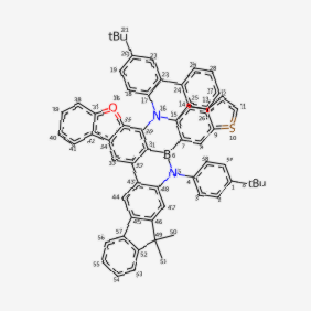 CC(C)(C)c1ccc(N2B3c4cc5sccc5cc4N(c4ccc(C(C)(C)C)cc4-c4ccccc4)c4c3c(cc3c4oc4ccccc43)-c3cc4c(cc32)C(C)(C)c2ccccc2-4)cc1